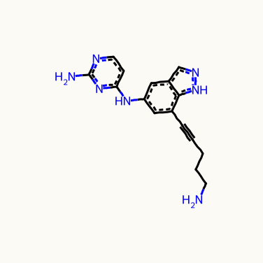 NCCCC#Cc1cc(Nc2ccnc(N)n2)cc2cn[nH]c12